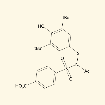 CC(=O)N(Sc1cc(C(C)(C)C)c(O)c(C(C)(C)C)c1)S(=O)(=O)c1ccc(C(=O)O)cc1